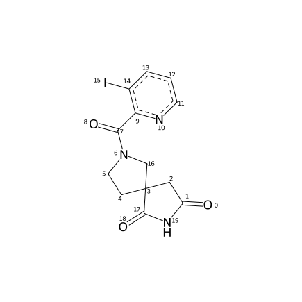 O=C1CC2(CCN(C(=O)c3ncccc3I)C2)C(=O)N1